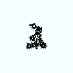 CC1CCC(n2cnc(CC(CCCNC(=O)[C@H](Cc3ccccc3)NC(=O)OCc3ccccc3)C(=O)OCc3ccccc3)c2)CC1